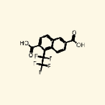 O=C(O)c1ccc2c(C(F)(F)C(F)(F)F)c(C(=O)O)ccc2c1